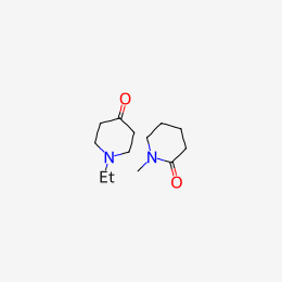 CCN1CCC(=O)CC1.CN1CCCCC1=O